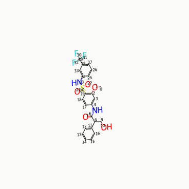 COc1cc(NC(=O)C(CO)c2ccccc2)ccc1S(=O)(=O)Nc1cccc(C(F)(F)F)c1